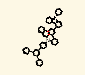 c1ccc(-c2cc(-c3ccccc3)cc(-c3ccc(N(c4ccc5ccccc5c4)c4ccccc4-c4cccc(-c5cccc6c5c5ccccc5n6-c5ccccc5)c4)cc3)c2)cc1